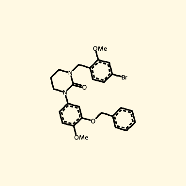 COc1cc(Br)ccc1CN1CCCN(c2ccc(OC)c(OCc3ccccc3)c2)C1=O